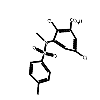 Cc1ccc(S(=O)(=O)N(C)c2cc(Cl)cc(C(=O)O)c2Cl)cc1